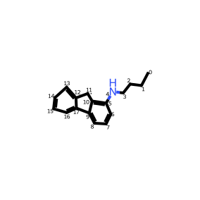 CCCCNc1cccc2c1[CH]c1ccccc1-2